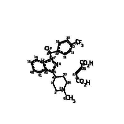 CN1CCC(c2nn(C(=O)c3ccc(C(F)(F)F)cc3)c3ccccc23)CC1.O=C(O)/C=C/C(=O)O